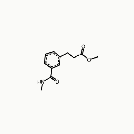 CNC(=O)c1cccc(CCC(=O)OC)c1